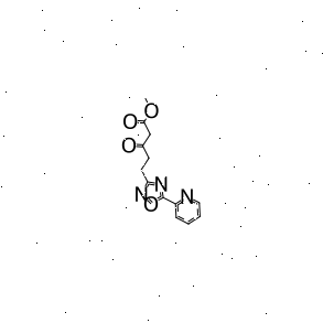 COC(=O)CC(=O)CCc1noc(-c2ccccn2)n1